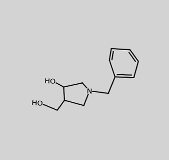 OCC1CN(Cc2ccccc2)CC1O